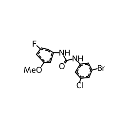 COc1cc(F)cc(NC(=O)Nc2cc(Cl)cc(Br)c2)c1